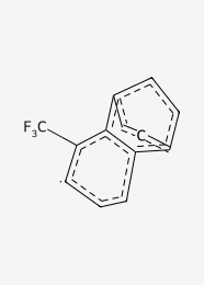 FC(F)(F)c1[c]ccc2c3ccc(cc3)c12